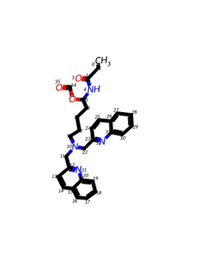 CCC(=O)NC(CCCCN(Cc1ccc2ccccc2n1)Cc1ccc2ccccc2n1)OC=O